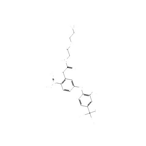 CCCOCCNC(=O)Cc1cc(Oc2ccc(C(F)(F)F)cc2Cl)ccc1[N+](=O)[O-]